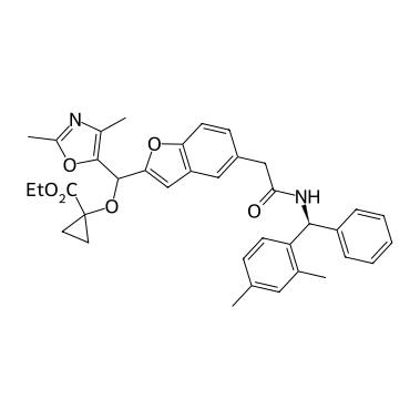 CCOC(=O)C1(OC(c2cc3cc(CC(=O)N[C@@H](c4ccccc4)c4ccc(C)cc4C)ccc3o2)c2oc(C)nc2C)CC1